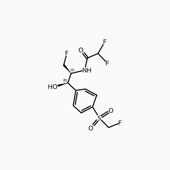 O=C(N[C@H](CF)[C@H](O)c1ccc(S(=O)(=O)CF)cc1)C(F)F